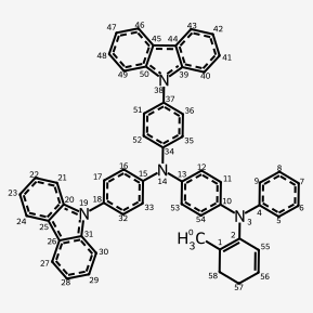 CC1=C(N(c2ccccc2)c2ccc(N(c3ccc(-n4c5ccccc5c5ccccc54)cc3)c3ccc(-n4c5ccccc5c5ccccc54)cc3)cc2)C=CCC1